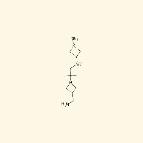 CC(C)(C)N1CC(NCC(C)(C)N2CC(CN)C2)C1